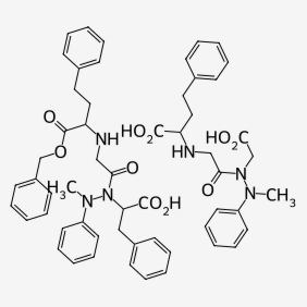 CN(c1ccccc1)N(C(=O)CNC(CCc1ccccc1)C(=O)OCc1ccccc1)C(Cc1ccccc1)C(=O)O.CN(c1ccccc1)N(CC(=O)O)C(=O)CNC(CCc1ccccc1)C(=O)O